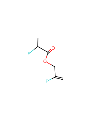 C=C(F)COC(=O)C(C)F